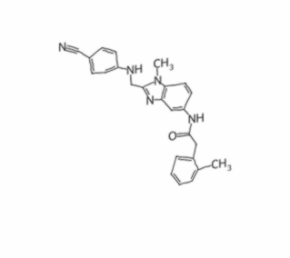 Cc1ccccc1CC(=O)Nc1ccc2c(c1)nc(CNc1ccc(C#N)cc1)n2C